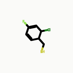 FC1=CC(Cl)C(CS)C=C1